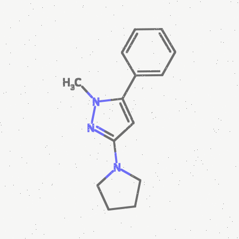 Cn1nc(N2CCCC2)cc1-c1ccccc1